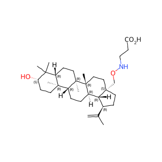 C=C(C)[C@@H]1CC[C@]2(CONCCC(=O)O)CC[C@]3(C)[C@H](CC[C@@H]4[C@@]5(C)CC[C@H](O)C(C)(C)[C@@H]5CC[C@]43C)[C@@H]12